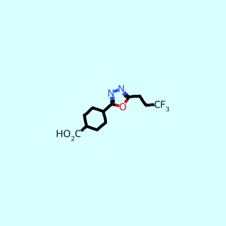 O=C(O)C1CCC(c2nnc(CCC(F)(F)F)o2)CC1